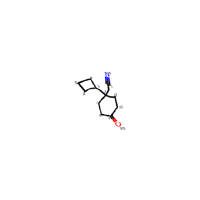 N#CC1(C2CCC2)CCC(=O)CC1